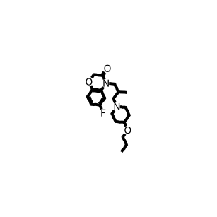 CCCOC1CCN(CC(C)CN2C(=O)COc3ccc(F)cc32)CC1